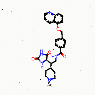 CC(=O)N1CCC(C(CNC(=O)c2ccc(COc3cccc4ncccc34)cc2)C2NC(=O)NC2=O)CC1